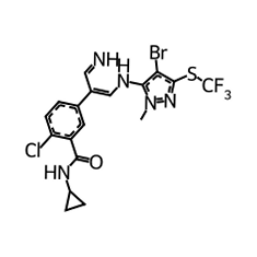 Cn1nc(SC(F)(F)F)c(Br)c1N/C=C(\C=N)c1ccc(Cl)c(C(=O)NC2CC2)c1